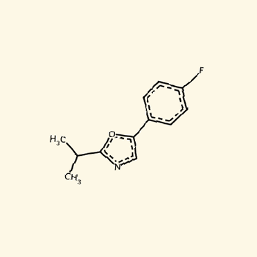 CC(C)c1ncc(-c2ccc(F)cc2)o1